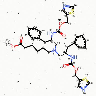 COC(=O)CCCCCN(C[C@H](Cc1ccccc1)NC(=O)OCc1cncs1)C[C@H](Cc1ccccc1)NC(=O)OCc1cncs1